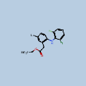 CCc1ccc(Nc2c(F)cccc2Cl)c(CC(=O)OCC(=O)O)c1